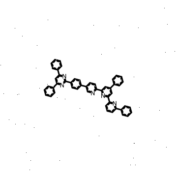 c1ccc(-c2cc(-c3ccc(-c4ccc(-c5nc(-c6ccccc6)cc(-c6ccccc6)n5)cc4)cn3)nc(-c3cccc(-c4ccccc4)n3)c2)cc1